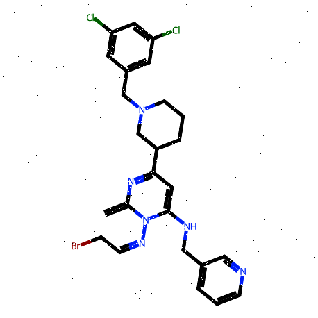 C=C1N=C(C2CCCN(Cc3cc(Cl)cc(Cl)c3)C2)C=C(NCc2cccnc2)N1/N=C\CBr